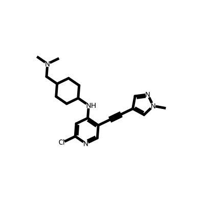 CN(C)CC1CCC(Nc2cc(Cl)ncc2C#Cc2cnn(C)c2)CC1